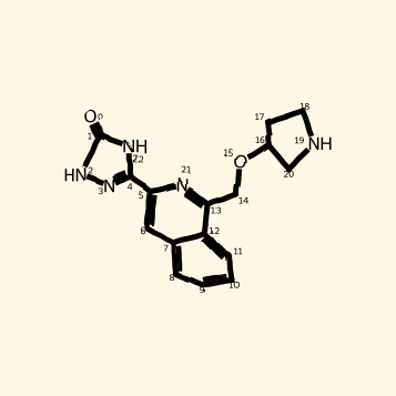 O=c1[nH]nc(-c2cc3ccccc3c(COC3CCNC3)n2)[nH]1